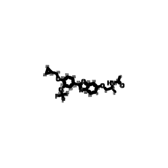 CC(=O)N[C@@H](C)COc1ccc2nc(-c3ccc(OCC4CC4)c(OC(F)(F)F)c3)oc2c1